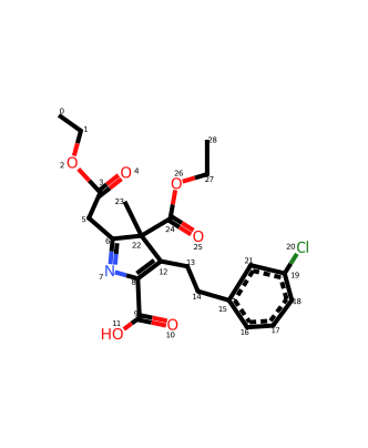 CCOC(=O)CC1=NC(C(=O)O)=C(CCc2cccc(Cl)c2)C1(C)C(=O)OCC